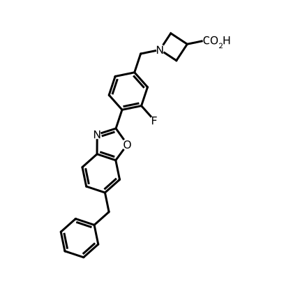 O=C(O)C1CN(Cc2ccc(-c3nc4ccc(Cc5ccccc5)cc4o3)c(F)c2)C1